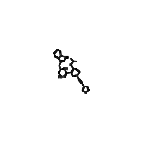 CC(C)Oc1ccc(C#Cc2ccsc2)cc1C(=O)N[C@@H](CO)Cc1c[nH]c2ccccc12